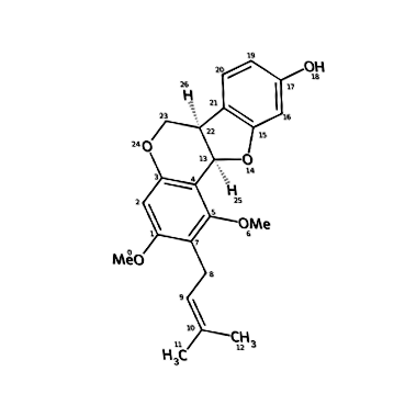 COc1cc2c(c(OC)c1CC=C(C)C)[C@@H]1Oc3cc(O)ccc3[C@@H]1CO2